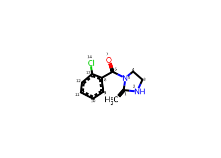 C=C1NCCN1C(=O)c1ccccc1Cl